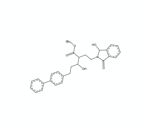 CC(C)(C)OC(=O)C(CCN1C(=O)c2ccccc2C1O)C(O)CCc1ccc(-c2ccccc2)cc1